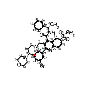 C[C@H](NC(=O)c1c(CN2CCC(N3CCOCC3)CC2)c(-c2cccc(Br)c2)nc2ccc(S(C)(=O)=O)cc12)c1ccccc1